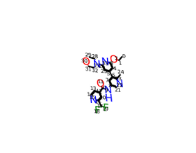 CCOc1cc(-c2cc(NC(=O)c3ccnc(C(F)F)c3)cnc2C)cc(N2CCOCC2)n1